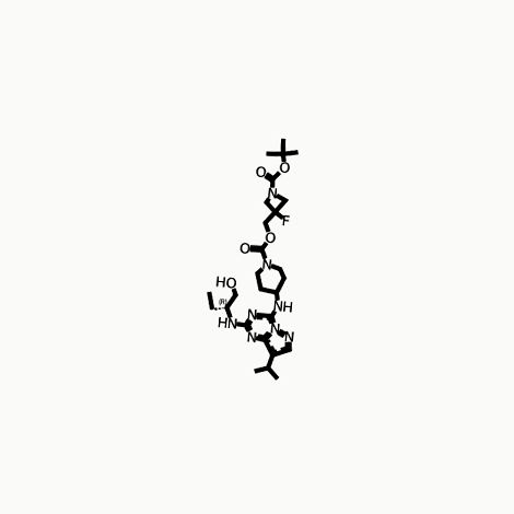 CC[C@H](CO)Nc1nc(NC2CCN(C(=O)OCC3(F)CN(C(=O)OC(C)(C)C)C3)CC2)n2ncc(C(C)C)c2n1